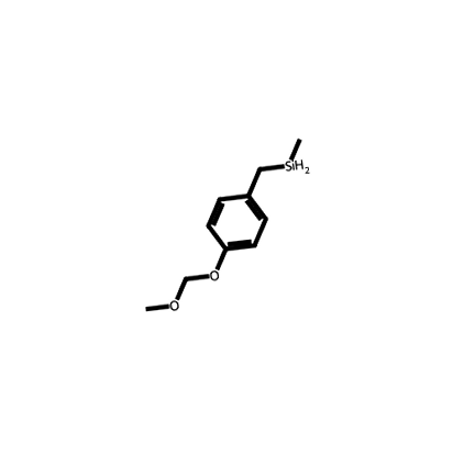 COCOc1ccc(C[SiH2]C)cc1